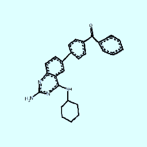 Nc1nc(NC2CCCCC2)c2cc(-c3ccc(C(=O)c4ccccc4)cc3)ccc2n1